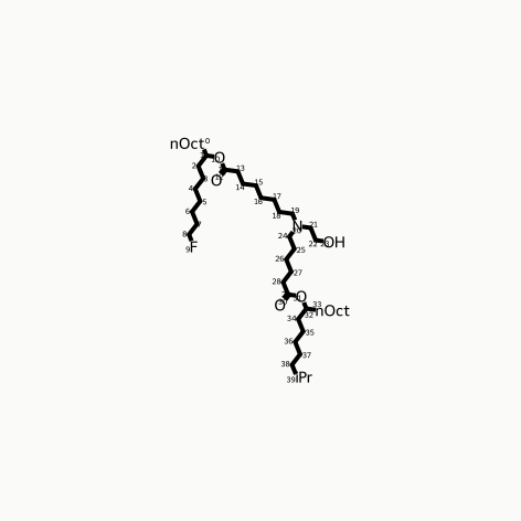 CCCCCCCCC(CCCCCCCF)OC(=O)CCCCCCCN(CCO)CCCCCC(=O)OC(CCCCCCCC)CCCCCC(C)C